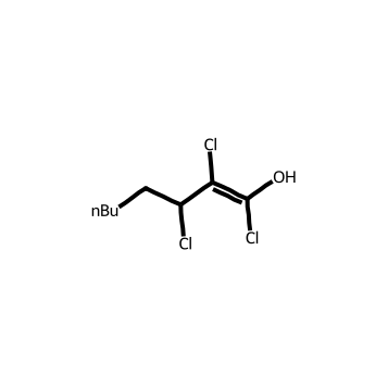 CCCCCC(Cl)C(Cl)=C(O)Cl